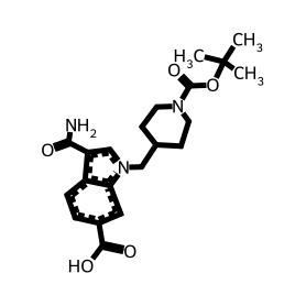 CC(C)(C)OC(=O)N1CCC(Cn2cc(C(N)=O)c3ccc(C(=O)O)cc32)CC1